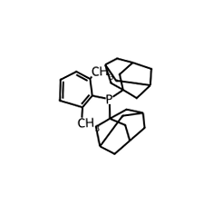 Cc1cccc(C)c1P(C12CC3CC(CC(C3)C1)C2)C12CC3CC(CC(C3)C1)C2